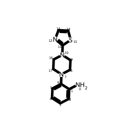 Nc1ccccc1N1CCN(c2nccs2)CC1